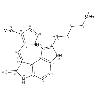 COCCCNc1nc2c3c(ccc2[nH]1)NC(=O)/C3=C/c1[nH]ccc1OC